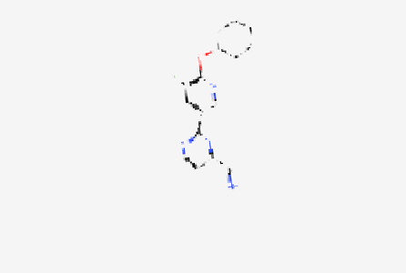 N=Cc1ccnc(-c2cnc(OC3CCCCC3)c(F)c2)n1